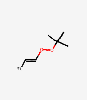 CC/C=C/OOC(C)(C)C